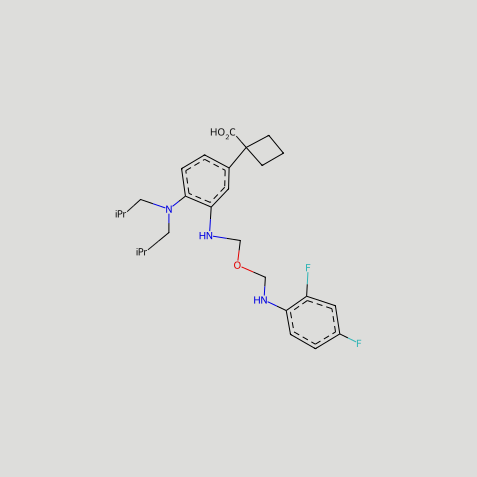 CC(C)CN(CC(C)C)c1ccc(C2(C(=O)O)CCC2)cc1NCOCNc1ccc(F)cc1F